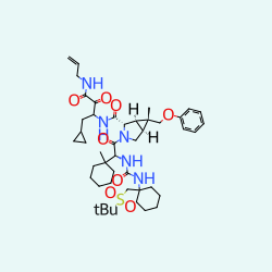 C=CCNC(=O)C(=O)C(CC1CC1)NC(=O)[C@@H]1[C@@H]2[C@H](CN1C(=O)[C@@H](NC(=O)NC1(CS(=O)(=O)C(C)(C)C)CCCCC1)C1(C)CCCCC1)[C@@]2(C)COc1ccccc1